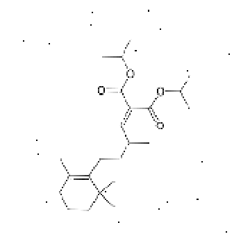 CC1=C(CCC(C)C=C(C(=O)OC(C)C)C(=O)OC(C)C)C(C)(C)CCC1